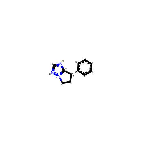 c1ccc([C@@H]2CCn3ncnc32)cc1